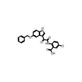 O=C(Nc1ccc(Cl)cc1C(=O)O)C(=O)c1c[nH]c2ccc(OCc3ccccc3)cc12